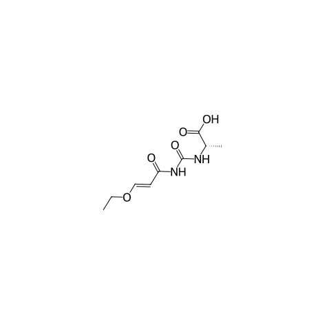 CCO/C=C/C(=O)NC(=O)N[C@@H](C)C(=O)O